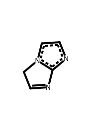 C1=Nc2nccn2C1